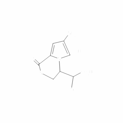 CCC(C(=O)O)C1CNC(=O)c2cc(N)cn21.Cl